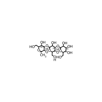 C[C@@H]1OC(CO)[C@@H](O)[C@H](O[C@@H]2OC(CO)[C@@H](O)[C@H](O[C@@H]3OC(CO)[C@@H](O)[C@H](O)C3O)C2O)C1O